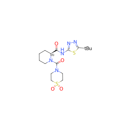 CC(C)(C)c1nnc(NC(=O)[C@@H]2CCCCN2C(=O)N2CCS(=O)(=O)CC2)s1